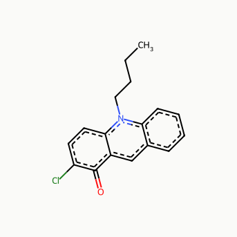 CCCCn1c2ccc(Cl)c(=O)c-2cc2ccccc21